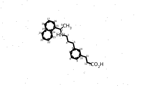 C[C@@H](NCCCc1cccc(CCC(=O)O)c1)c1cccc2ccccc12